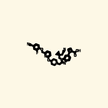 N#CCC1(Cn2c(CN3CCC(Oc4cccc(COc5ccc(C#N)cc5F)n4)CC3)nc3ccc(C4C#CC4C(=O)O)cc32)CC1